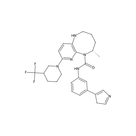 C[C@H]1CCCNc2ccc(N3CCCC(C(F)(F)F)C3)nc2N1C(=O)Nc1cccc(C2=CN=CC2)c1